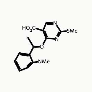 CNc1ccccc1C(C)Oc1nc(SC)ncc1C(=O)O